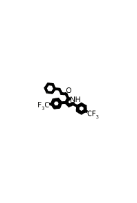 O=C(CCC1CCCCC1)c1[nH]c(-c2ccc(C(F)(F)F)cc2)cc1-c1ccc(C(F)(F)F)cc1